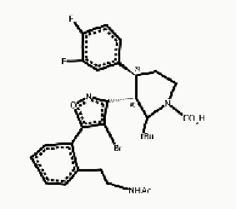 CC(=O)NCCc1ccccc1-c1onc([C@H]2C(C(C)(C)C)N(C(=O)O)CC[C@@H]2c2ccc(F)c(F)c2)c1Br